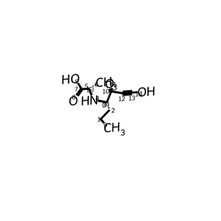 CCC[C@H](N[C@@H](C)C(=O)O)C(=O)C#CO